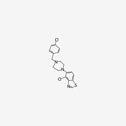 [O]c1c(N2CCN(Cc3ccc(Cl)cc3)CC2)ccc2scnc12